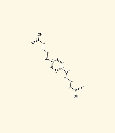 O=C(O)CCCOc1ccc(OCCCC(=O)O)cc1